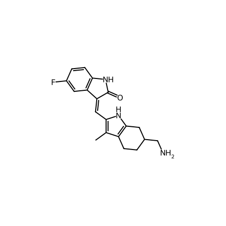 Cc1c(/C=C2\C(=O)Nc3ccc(F)cc32)[nH]c2c1CCC(CN)C2